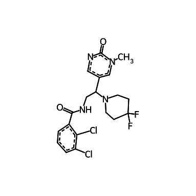 Cn1cc(C(CNC(=O)c2cccc(Cl)c2Cl)N2CCC(F)(F)CC2)cnc1=O